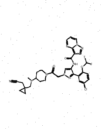 CN(CC1(CC#N)CC1)C1CCN(C(=O)Cn2cc(NC(=O)c3cnn4cccnc34)c(-c3cc(Cl)ccc3OC(F)F)n2)CC1